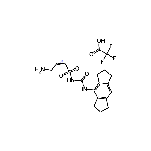 NC/C=C\S(=O)(=O)NC(=O)Nc1c2c(cc3c1CCC3)CCC2.O=C(O)C(F)(F)F